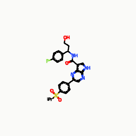 CC(C)S(=O)(=O)c1ccc(-c2cnc3[nH]cc(C(=O)NC(CCO)c4ccc(F)cc4)c3n2)cc1